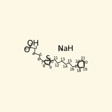 O=C(O)CCCCc1ccc(CCCCCCc2ccccc2)s1.[NaH]